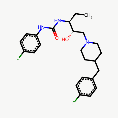 CC[C@H](NC(=O)Nc1ccc(F)cc1)[C@@H](O)CN1CCC(Cc2ccc(F)cc2)CC1